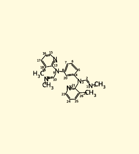 C/N=C/N(c1cccc(N(/C=N/C)c2ncccc2C)c1)c1ncccc1C